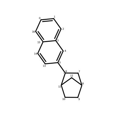 c1ccc2cc([C]3CC4CCC3C4)ccc2c1